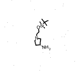 CC(C)(C)[Si](C)(C)OCCN1CC[C@@H](N)C1